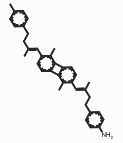 C/C(=C\c1ccc2c(c1C)-c1ccc(/C=C(\C)CCc3ccc(N)cc3)c(C)c1-2)CCc1ccc(C)cc1